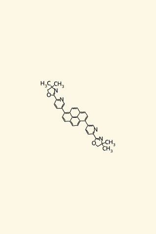 CC1(C)COC(c2ccc(-c3ccc4ccc5c(-c6ccc(C7=NC(C)(C)CO7)nc6)ccc6ccc3c4c65)cn2)=N1